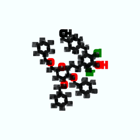 CCc1ccc(Cc2cc(CCC3O[C@H](COCc4ccccc4)C[C@H](OCc4ccccc4)[C@H]3OCc3ccccc3)c(Br)c(O)c2Cl)cc1